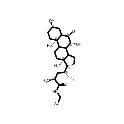 CC[C@@H]1C2C[C@H](O)CC[C@]2(C)C2CC[C@@]3(C)C(CC[C@@H]3[C@H](C)C[C@H](C)C(=O)NCC(C)=O)C2[C@H]1O